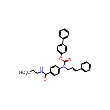 O=C(O)CCNC(=O)c1ccc(N(CC=Cc2ccccc2)C(=O)Oc2ccc(-c3ccccc3)cc2)cc1